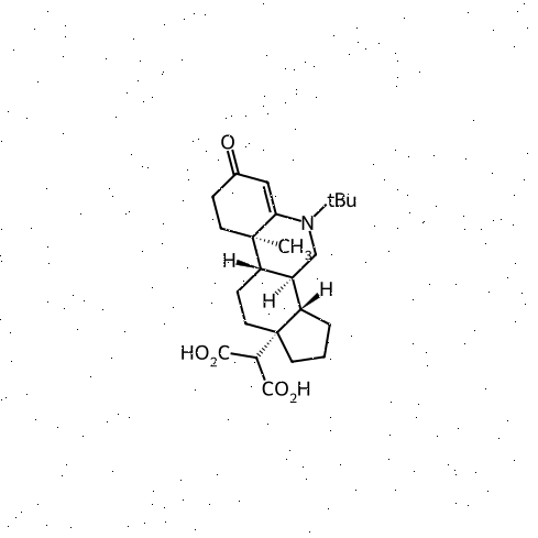 CC(C)(C)N1C[C@H]2[C@@H]3CCC[C@@]3(C(C(=O)O)C(=O)O)CC[C@@H]2[C@@]2(C)CCC(=O)C=C12